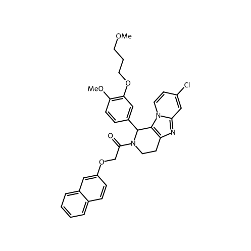 COCCCOc1cc(C2c3c(nc4cc(Cl)ccn34)CCN2C(=O)COc2ccc3ccccc3c2)ccc1OC